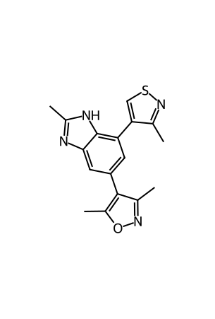 Cc1nc2cc(-c3c(C)noc3C)cc(-c3csnc3C)c2[nH]1